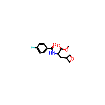 COC(=O)C(CC1COC1)NC(=O)c1ccc(F)cc1